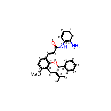 COc1ccc(/C=C/C(=O)NC2=C(N)CCC=C2)c(OCc2ccccc2)c1CC=C(C)C